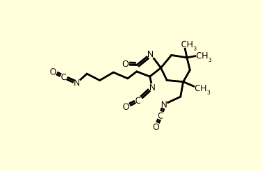 CC1(C)CC(C)(CN=C=O)CC(N=C=O)(C(CCCCCN=C=O)N=C=O)C1